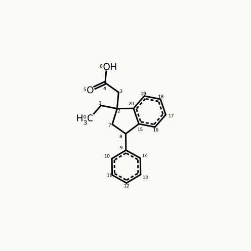 CCC1(CC(=O)O)CC(c2ccccc2)c2ccccc21